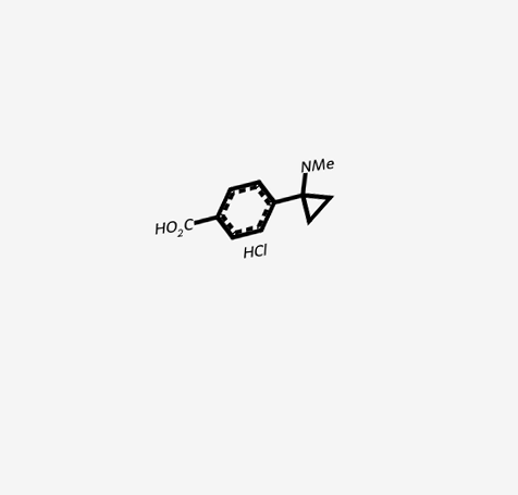 CNC1(c2ccc(C(=O)O)cc2)CC1.Cl